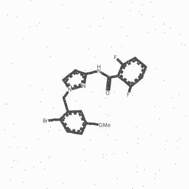 COc1ccc(Br)c(Cn2ccc(NC(=O)c3c(F)cccc3F)n2)c1